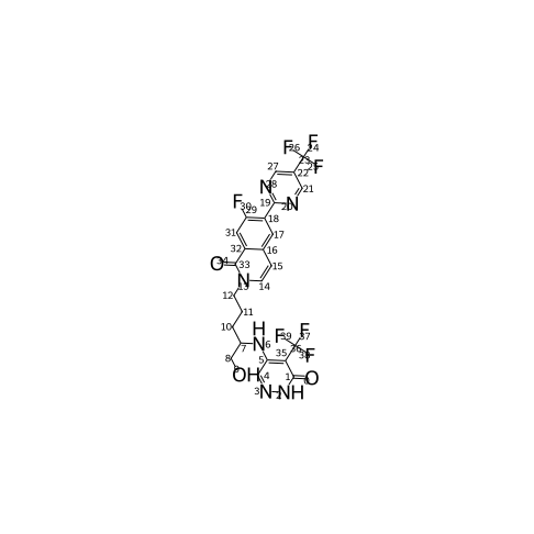 O=c1[nH]ncc(NC(CO)CCCn2ccc3cc(-c4ncc(C(F)(F)F)cn4)c(F)cc3c2=O)c1C(F)(F)F